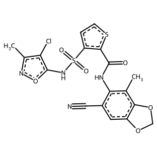 Cc1noc(NS(=O)(=O)c2ccsc2C(=O)Nc2c(C#N)cc3c(c2C)OCO3)c1Cl